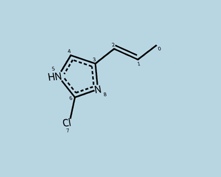 CC=Cc1c[nH]c(Cl)n1